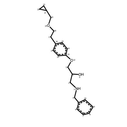 OC(CNCc1ccccc1)COc1ccc(CCOCC2CC2)cc1